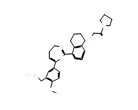 CNCc1cc(C2=CCCN=C(C3=C=C=CC4=C3CCC[C@@H]4NCC(=O)N3CCCC3)S2)ccc1OC(C)C